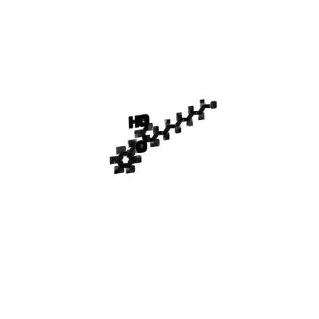 CCCCCCCCCCCC(CCO)OCc1ccccc1